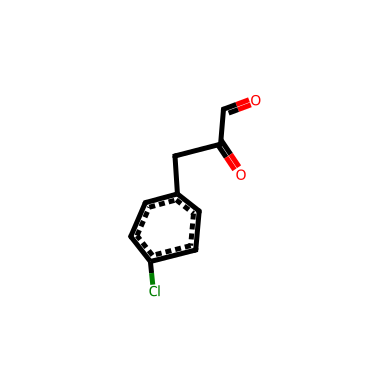 O=CC(=O)Cc1ccc(Cl)cc1